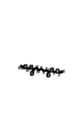 C=COCOC(=O)CCCCCC(=O)OCOC=C